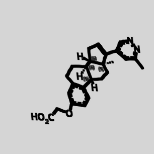 Cc1cc(C2=CC[C@H]3[C@@H]4CCc5cc(OCC(=O)O)ccc5[C@H]4CC[C@]23C)cnn1